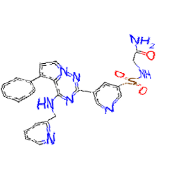 NC(=O)CNS(=O)(=O)c1cncc(-c2nc(NCc3ccccn3)c3c(-c4ccccc4)ccn3n2)c1